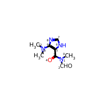 CN(C=O)C(=O)c1[nH]cnc1N(C)C